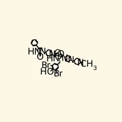 CN1CCC(N2CCN(C(=O)[C@@H](Cc3cc(Br)c(O)c(Br)c3)NC(=O)N3CCC(n4cc(-c5ccccc5)[nH]c4=O)CC3)CC2)CC1